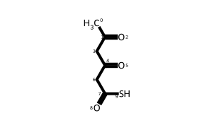 CC(=O)CC(=O)CC(=O)S